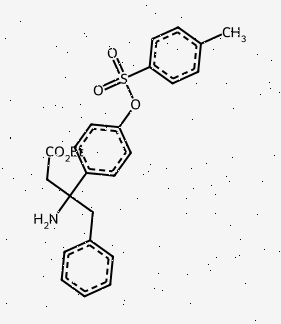 CCOC(=O)CC(N)(Cc1ccccc1)c1ccc(OS(=O)(=O)c2ccc(C)cc2)cc1